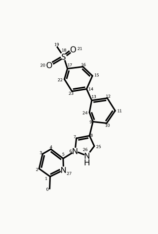 Cc1cccc(N2C=C(c3cccc(-c4ccc(S(C)(=O)=O)cc4)c3)CN2)n1